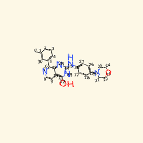 Cc1cccc(-c2nccc3c(O)nc(Nc4ccc(N5CCOCC5)cc4)nc23)c1